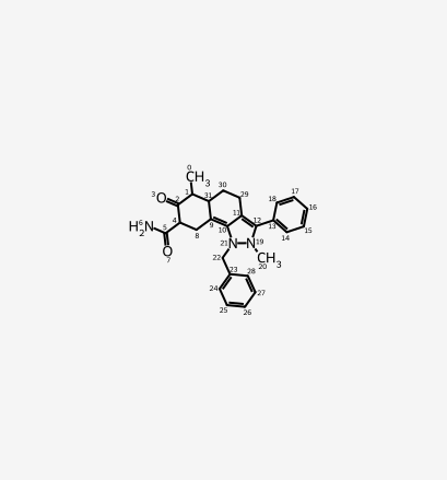 CC1C(=O)C(C(N)=O)CC2=C3C(=C(c4ccccc4)N(C)N3Cc3ccccc3)CCC21